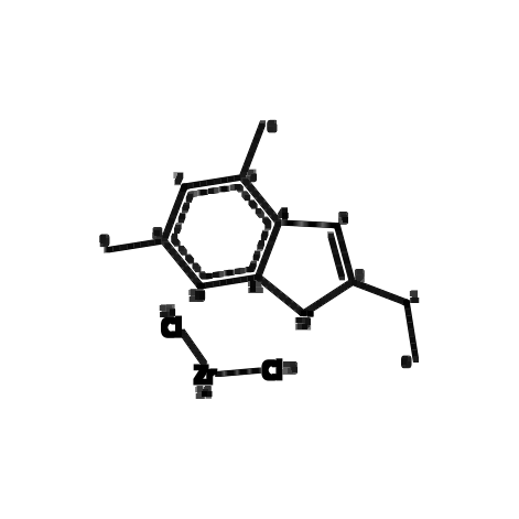 CCC1=Cc2c(C)cc(C)cc2[CH]1.[Cl][Zr][Cl]